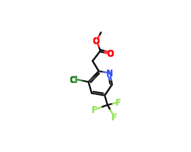 COC(=O)Cc1ncc(C(F)(F)F)cc1Cl